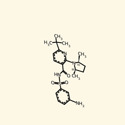 C[C@@H]1CC[C@H](C)N1c1nc(C(C)(C)C)ccc1C(=O)NS(=O)(=O)c1cccc(N)c1